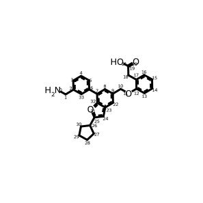 NCc1cccc(-c2cc(COc3ccccc3CC(=O)O)cc3cc(C4CCCC4)oc23)c1